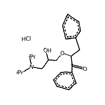 CC(C)N(CC(O)COC(Cc1ccccc1)C(=O)c1ccccc1)C(C)C.Cl